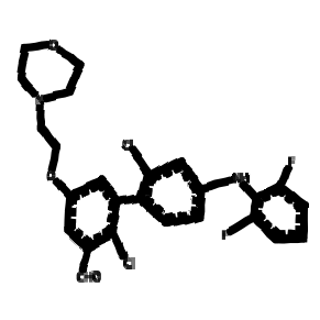 O=Cc1cc(OCCN2CCOCC2)cc(-c2ccc(Nc3c(F)cccc3F)cc2Cl)c1Cl